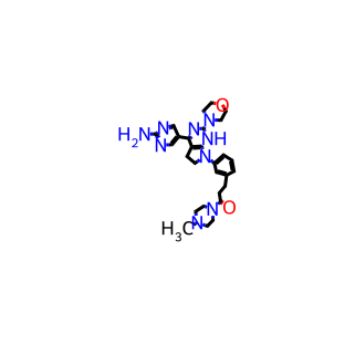 CN1CCN(C(=O)CCc2cccc(N3CCC4=C3NC(N3CCOCC3)N=C4c3cnc(N)nc3)c2)CC1